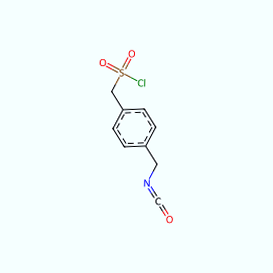 O=C=NCc1ccc(CS(=O)(=O)Cl)cc1